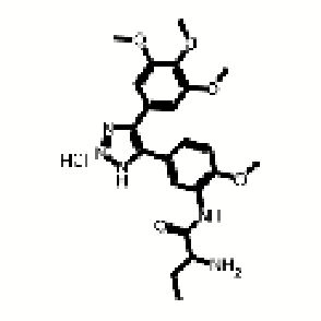 CCC(N)C(=O)Nc1cc(-c2[nH]nnc2-c2cc(OC)c(OC)c(OC)c2)ccc1OC.Cl